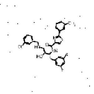 CCc1cccc(CNC[C@H](O)[C@@H](Cc2cc(F)cc(F)c2)NC(=O)c2csc(-c3cccc(C)c3)n2)c1